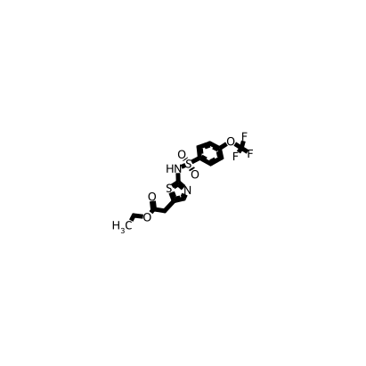 CCOC(=O)Cc1cnc(NS(=O)(=O)c2ccc(OC(F)(F)F)cc2)s1